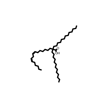 CCCCC/C=C\C/C=C\CCCCCCC(CCCCCCCCCCCCC)(CCCCCCCCCCCCC)C(=O)O